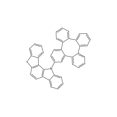 c1ccc2c(c1)-c1ccccc1-c1ccc(-n3c4ccccc4c4ccc5sc6ccccc6c5c43)cc1-c1ccccc1-2